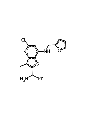 Cc1c(C(N)C(C)C)sc2c(NCc3ccco3)cc(Cl)nc12